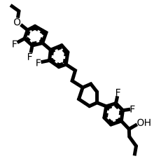 CCCC(O)c1ccc(C2CCC(CCc3ccc(-c4ccc(OCC)c(F)c4F)c(F)c3)CC2)c(F)c1F